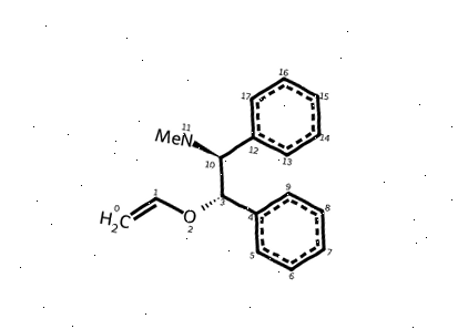 C=CO[C@@H](c1ccccc1)[C@@H](NC)c1ccccc1